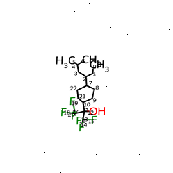 CCC(CC(C)C)C1CCC(C(O)(C(F)(F)F)C(F)(F)F)CC1